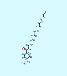 CCCCCCCCCCCCCCCCCC(=O)c1ccc(CO)cc1